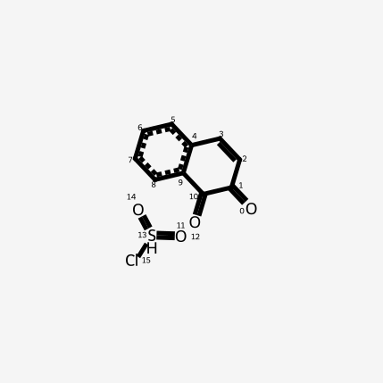 O=C1C=Cc2ccccc2C1=O.O=[SH](=O)Cl